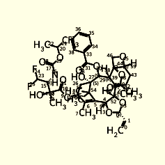 C=C[C@@H]1O[C@@H]2C3=C(C)[C@@H](OC(=O)[C@](C)(O)[C@@H](NC(=O)OC(C)C)C(F)F)C[C@@](O)([C@@H](OC(=O)c4ccccc4)[C@H]4[C@@](C)(CC[C@H]5OC[C@]54OC(C)=O)[C@@H]2O1)C3(C)C